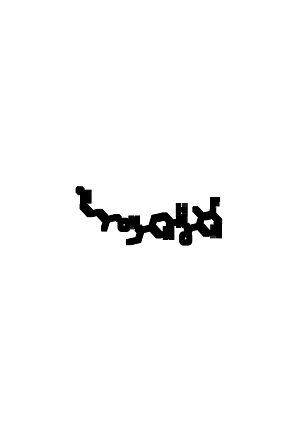 C=N/C=C\C=C(/C)CO/N=C(\CC)c1ccc(NC(=O)c2cncc(F)c2C)nc1